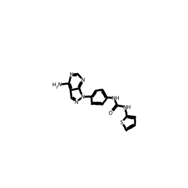 Nc1ncnc2c1cnn2-c1ccc(NC(=O)Nc2cccs2)cc1